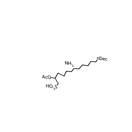 CCCCCCCCCCCCCCCCCCCCC(CS(=O)(=O)O)OC(C)=O.N